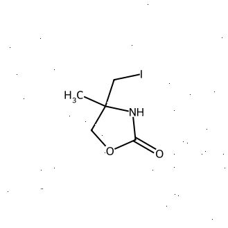 CC1(CI)COC(=O)N1